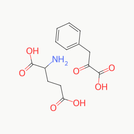 NC(CCC(=O)O)C(=O)O.O=C(O)C(=O)Cc1ccccc1